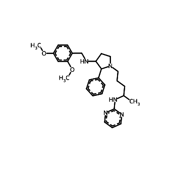 COc1ccc(CNC2CCN(CCCC(C)Nc3ncccn3)C2c2ccccc2)c(OC)c1